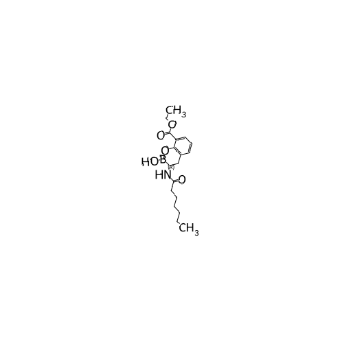 CCCCCCC(=O)N[C@H]1Cc2cccc(C(=O)OCC)c2OB1O